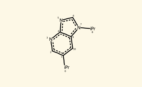 CC(C)c1cnc2ncn(C(C)C)c2c1